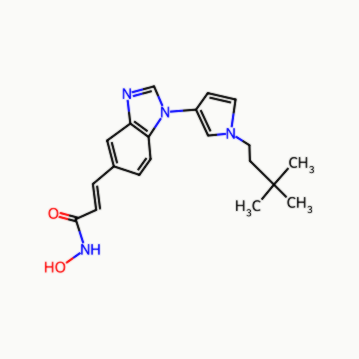 CC(C)(C)CCn1ccc(-n2cnc3cc(/C=C/C(=O)NO)ccc32)c1